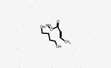 C/C=C/C(=O)ON.OCCCCO